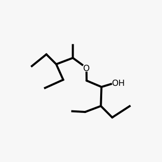 CCC(CC)C(O)COC(C)C(CC)CC